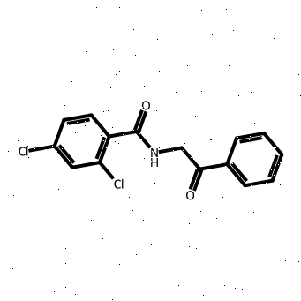 O=C(CNC(=O)c1ccc(Cl)cc1Cl)c1ccccc1